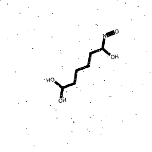 O=NC(O)CCCCC(O)O